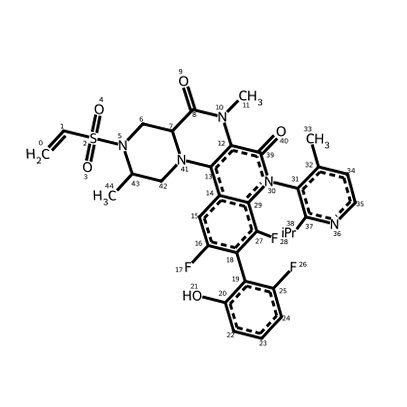 C=CS(=O)(=O)N1CC2C(=O)N(C)c3c(c4cc(F)c(-c5c(O)cccc5F)c(F)c4n(-c4c(C)ccnc4C(C)C)c3=O)N2CC1C